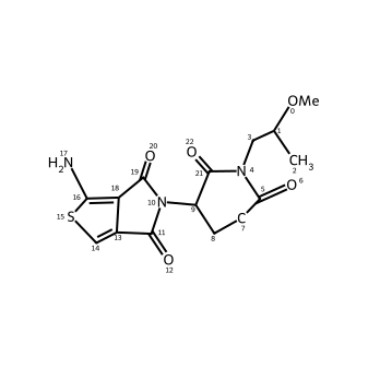 COC(C)CN1C(=O)CCC(N2C(=O)c3csc(N)c3C2=O)C1=O